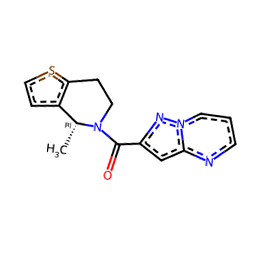 C[C@@H]1c2ccsc2CCN1C(=O)c1cc2ncccn2n1